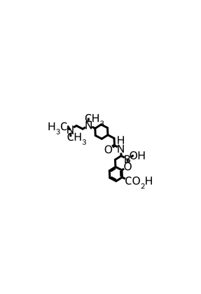 CN(C)CCN(C)C1CCC(CC(=O)NC2Cc3cccc(C(=O)O)c3OB2O)CC1